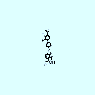 CC(O)c1ccc(OCc2ccc(-c3ccc(C4CO4)c(F)c3F)cc2)c(F)c1F